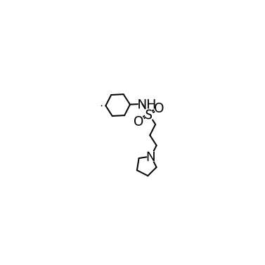 O=S(=O)(CCCN1CCCC1)NC1CC[CH]CC1